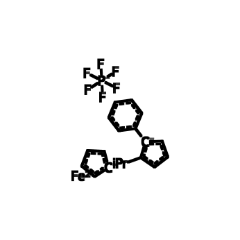 CC(C)c1ccc[c-]1-c1ccccc1.F[P-](F)(F)(F)(F)F.[Fe+2].c1cc[cH-]c1